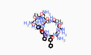 CC[C@H](NC(=O)[C@H](CCN)NC(=O)c1ccc(-c2ccccc2)cc1)C(=O)N[C@@H](CCN)C(=O)N[C@H]1CCNC(=O)[C@H](C)NC(=O)[C@H](CCN)NC(=O)[C@H](CCN)NC(=O)C(c2ccc(-c3ccccc3)cc2)NC(=O)[C@@H](Cc2ccccc2)NC(=O)[C@H](CCN)NC1=O